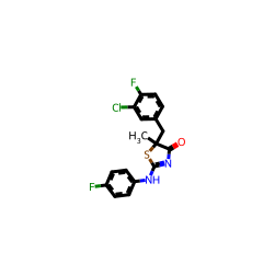 CC1(Cc2ccc(F)c(Cl)c2)SC(Nc2ccc(F)cc2)=NC1=O